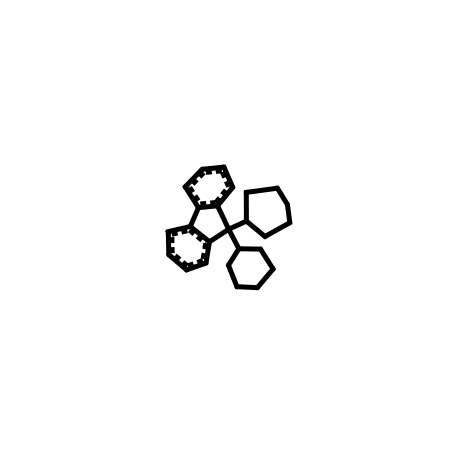 [c]1c[c]c2c(c1)C(C1CCCCC1)(C1CCCCC1)c1ccccc1-2